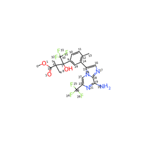 COC(=O)C(C)(C)C(O)(c1ccc(C)c(-c2cnc3c(N)nc(C(F)(F)F)cn23)c1)C(F)(F)F